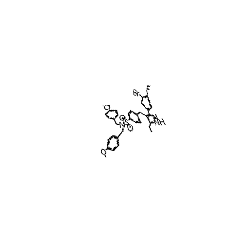 CCc1[nH]nc(-c2ccc(F)c(Br)c2)c1Cc1ccc(S(=O)(=O)N(Cc2ccc(OC)cc2)Cc2ccc(OC)cc2)cc1